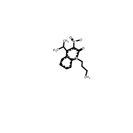 CCCCn1c(=O)c([N+](=O)[O-])c(C(C)C)c2ccccc21